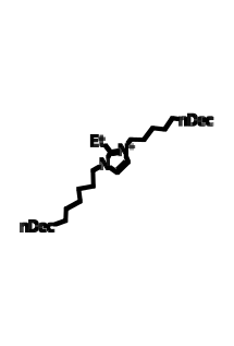 CCCCCCCCCCCCCCCCn1cc[n+](CCCCCCCCCCCCCCC)c1CC